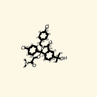 CN(C)C(=O)CO[C@]1(c2ccc(Cl)cc2)c2ccc(C(C)(C)O)cc2C(=O)N1Cc1ccc(Cl)cc1